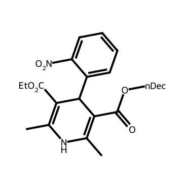 CCCCCCCCCCOC(=O)C1=C(C)NC(C)=C(C(=O)OCC)C1c1ccccc1[N+](=O)[O-]